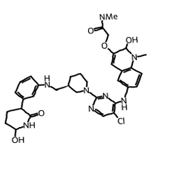 CNC(=O)COC1=Cc2cc(Nc3nc(N4CCC[C@H](CNc5cccc(C6CCC(O)NC6=O)c5)C4)ncc3Cl)ccc2N(C)C1O